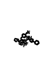 N#Cc1ccc(CC(C(=O)N2CCCC2)N(CCC(N)c2ccc(-c3ccccc3)cc2)C(=O)C(F)(F)F)cc1